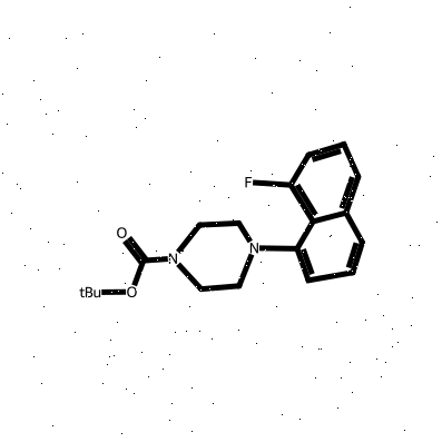 CC(C)(C)OC(=O)N1CCN(c2cccc3cccc(F)c23)CC1